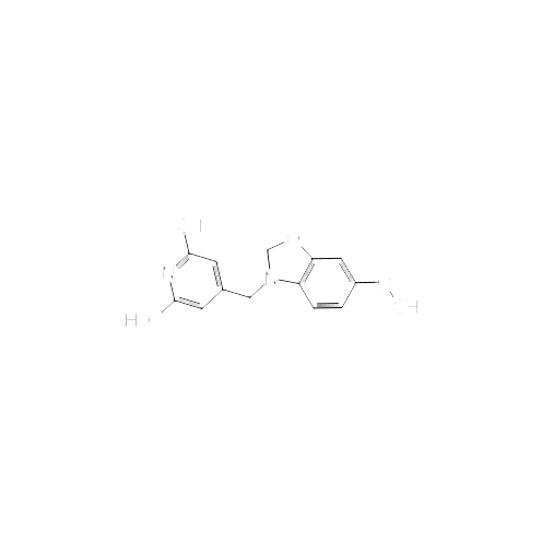 COc1ccc2c(c1)OCN2Cc1cc(C)nc(C)c1